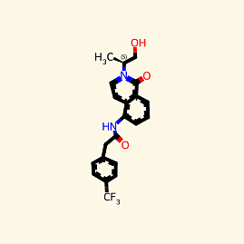 C[C@@H](CO)n1ccc2c(NC(=O)Cc3ccc(C(F)(F)F)cc3)cccc2c1=O